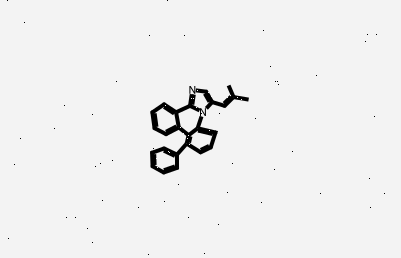 CC(C)=Cc1cnc2c3ccccc3c3c(-c4ccccc4)cccc3n12